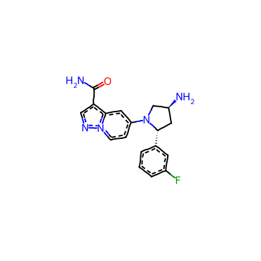 NC(=O)c1cnn2ccc(N3C[C@@H](N)C[C@@H]3c3cccc(F)c3)cc12